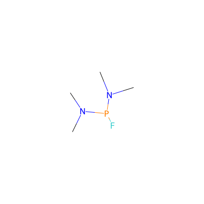 CN(C)P(F)N(C)C